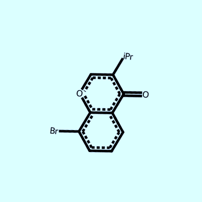 CC(C)c1coc2c(Br)cccc2c1=O